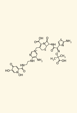 CC(C)(O/N=C(\C(=O)N[C@@H]1C(=O)N2C(C(=O)O)=C(C[n+]3cnc(NCCNC(=O)c4cc(=O)c(O)cn4O)c(N)c3)CSC12)c1csc(N)n1)C(=O)O